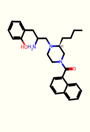 CCCC[C@H]1CN(C(=O)c2cccc3ccccc23)CCN1CC(N)Cc1ccccc1O